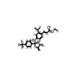 C=C1SC(Nc2ccc(/C=C/C(=O)OCC)c(C(C)C)c2)(c2ccc(C(F)(F)F)cc2)N(C)C1C